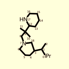 CC(C)C(C)C1CCCN(CC(C)(C)C2CCCCN2)C1